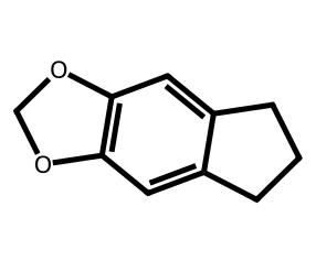 c1c2c(cc3c1OCO3)CCC2